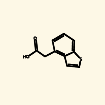 O=C(O)Cc1cccc2sccc12